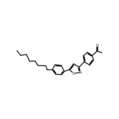 CCCCCCCCc1ccc(-c2cc(-c3ccc(C(C)=O)cc3)no2)cc1